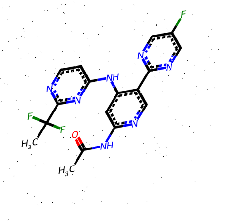 CC(=O)Nc1cc(Nc2ccnc(C(C)(F)F)n2)c(-c2ncc(F)cn2)cn1